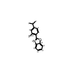 CC(C)c1ccc(-c2nc3ccccc3o2)c(F)c1